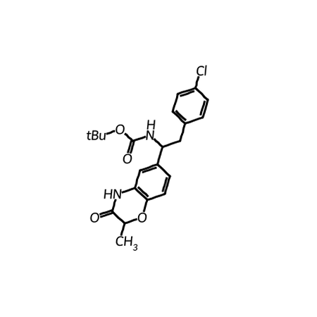 CC1Oc2ccc(C(Cc3ccc(Cl)cc3)NC(=O)OC(C)(C)C)cc2NC1=O